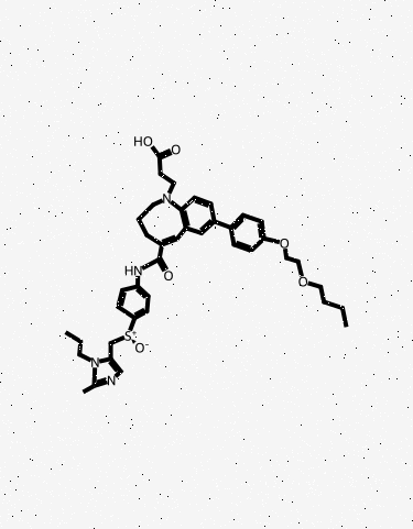 CCCCOCCOc1ccc(-c2ccc3c(c2)/C=C(/C(=O)Nc2ccc([S@@+]([O-])Cc4cnc(C)n4CCC)cc2)CCCN3CCC(=O)O)cc1